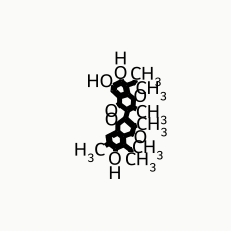 CC1=C(C2=C(C)C(=O)c3c(cc(O)c(O)c3C(C)C)C2=O)C(=O)c2cc(C)c(O)c(C(C)C)c2C1=O